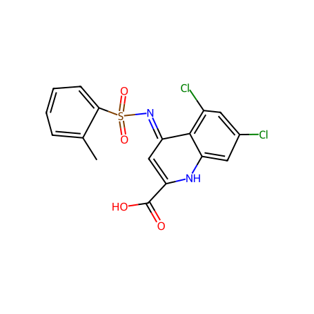 Cc1ccccc1S(=O)(=O)N=c1cc(C(=O)O)[nH]c2cc(Cl)cc(Cl)c12